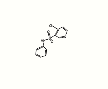 O=S(=O)(Nc1ccccc1)c1cnccc1Cl